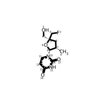 C[C@H]1C[C@](CO)(CF)O[C@H]1n1ccc(=O)[nH]c1=O